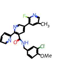 COc1ccc(CNC(=O)c2cc(-c3cc(C)cnc3F)cnc2-c2ccccn2)cc1Cl